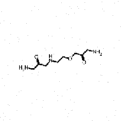 NCC(=O)CNCCOCC(=O)CN